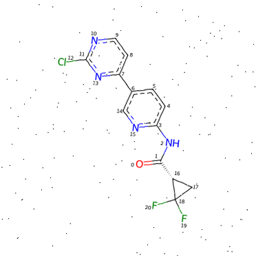 O=C(Nc1ccc(-c2ccnc(Cl)n2)cn1)[C@@H]1CC1(F)F